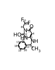 C[C@H](NC1=CC(=O)N(CC(F)F)C(O)N1)c1ccccc1